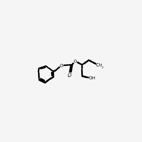 CCC(CO)OC(=O)Oc1ccccc1